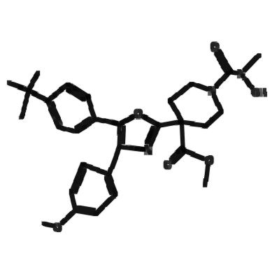 COC(=O)C1(c2nc(-c3ccc(OC)cc3)c(-c3ccc(C(C)(C)C)cc3)o2)CCN(C(=O)N(C)O)CC1